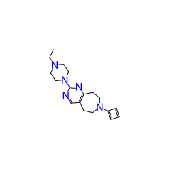 CCN1CCN(c2ncc3c(n2)CCN(C2=CC=C2)CC3)CC1